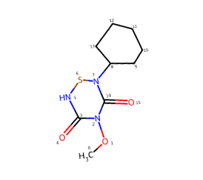 CON1C(=O)NSN(C2CCCCC2)C1=O